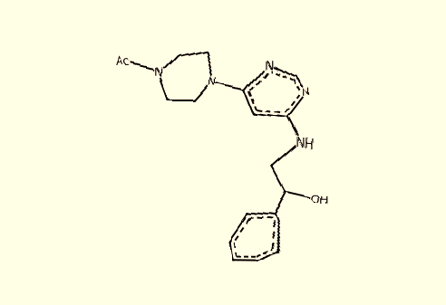 CC(=O)N1CCN(c2cc(NCC(O)c3ccccc3)ncn2)CC1